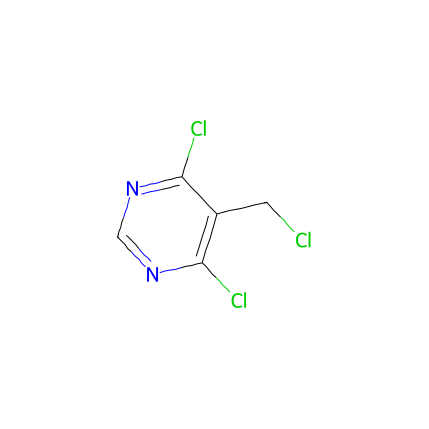 ClCc1c(Cl)ncnc1Cl